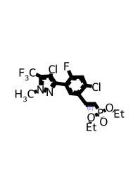 CCOP(=O)(/C=C/c1cc(-c2nn(C)c(C(F)(F)F)c2Cl)c(F)cc1Cl)OCC